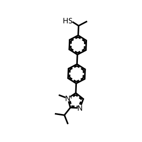 CC(C)c1ncc(-c2ccc(-c3ccc(C(C)S)cc3)cc2)n1C